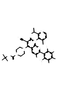 Cc1ccnc(C(C)C)c1-n1c(=O)c(C#N)c(N2CCN(C(=O)OC(C)(C)C)CC2)c2cc(Cl)c(-c3c(N)c(Cl)c(F)c(Cl)c3F)nc21